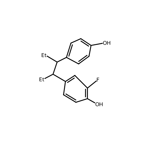 CCC(c1ccc(O)cc1)C(CC)c1ccc(O)c(F)c1